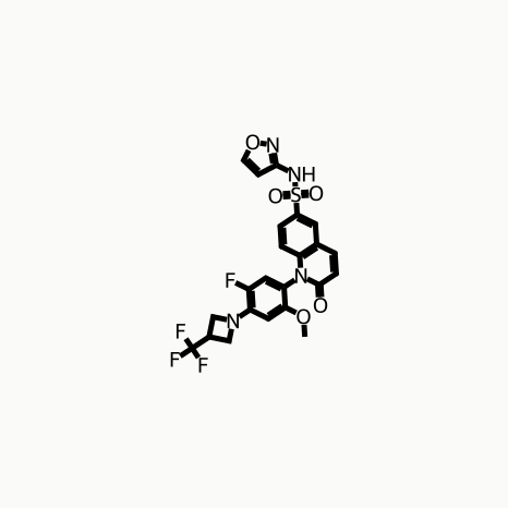 COc1cc(N2CC(C(F)(F)F)C2)c(F)cc1-n1c(=O)ccc2cc(S(=O)(=O)Nc3ccon3)ccc21